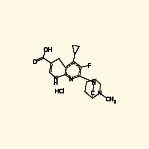 CN1CC2CCC1CN2c1nc2c(c(C3CC3)c1F)CC(C(=O)O)=CN2.Cl